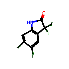 O=C1Nc2cc(F)c(F)cc2C1(F)F